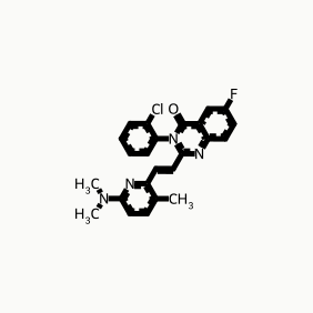 Cc1ccc(N(C)C)nc1C=Cc1nc2ccc(F)cc2c(=O)n1-c1ccccc1Cl